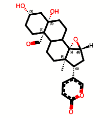 C[C@]12CCC3C(CC[C@]4(O)C[C@@H](O)CC[C@]34C=O)[C@]13O[C@@H]3C[C@@H]2c1ccc(=O)oc1